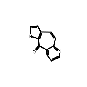 O=c1c2cccnc2ccc2cc[nH]c12